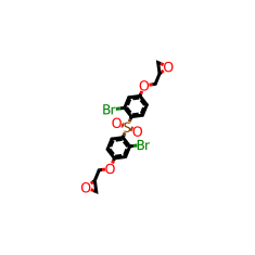 O=S(=O)(c1ccc(OCC2CO2)cc1Br)c1ccc(OCC2CO2)cc1Br